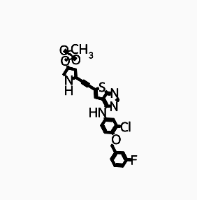 CS(=O)(=O)OC1CNC(C#Cc2cc3c(Nc4ccc(OCc5cccc(F)c5)c(Cl)c4)ncnc3s2)C1